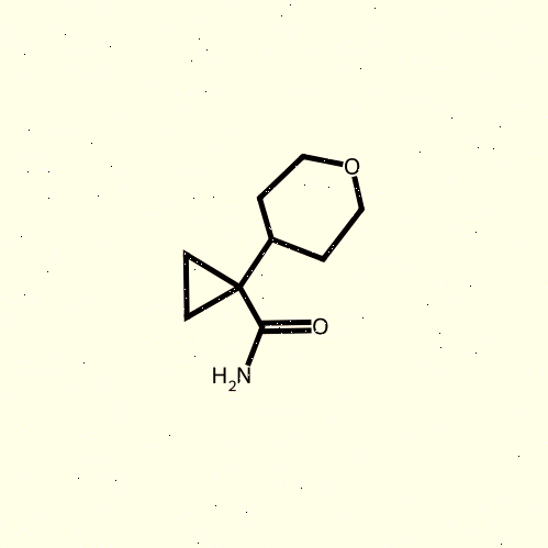 NC(=O)C1(C2CCOCC2)CC1